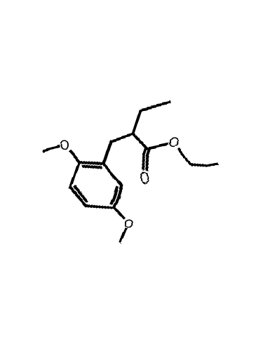 CCOC(=O)C(CC)Cc1cc(OC)ccc1OC